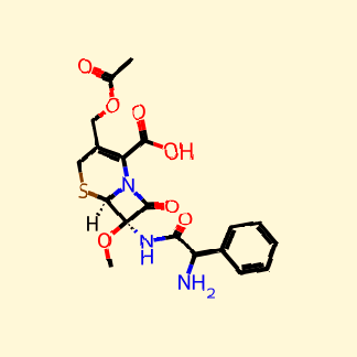 CO[C@]1(NC(=O)C(N)c2ccccc2)C(=O)N2C(C(=O)O)=C(COC(C)=O)CS[C@@H]21